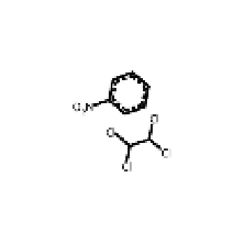 ClC(Cl)C(Cl)Cl.O=[N+]([O-])c1ccccc1